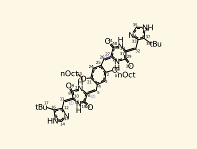 CCCCCCCCOc1cc(/C=c2\[nH]c(=O)/c(=C/c3nc[nH]c3C(C)(C)C)[nH]c2=O)c(OCCCCCCCC)cc1/C=c1\[nH]c(=O)c(=Cc2nc[nH]c2C(C)(C)C)[nH]c1=O